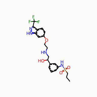 CCCS(=O)(=O)Nc1cccc(C(O)CNCCOc2ccc3c(C(F)(F)F)n[nH]c3c2)c1